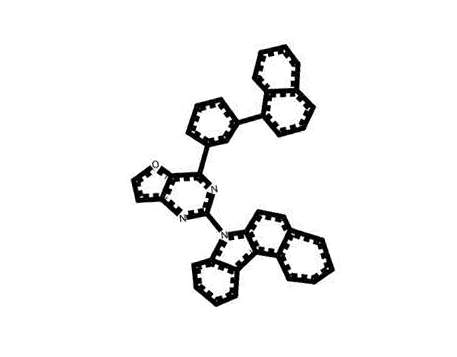 c1cc(-c2cccc3ccccc23)cc(-c2nc(-n3c4ccccc4c4c5ccccc5ccc43)nc3ccoc23)c1